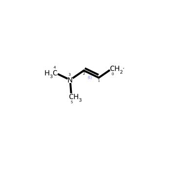 [CH2]/C=C/N(C)C